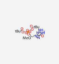 COC(CCn1cnc2c(=O)[nH]c(N)nc21)COP(=O)(OCOC(=O)C(C)(C)C)OCOC(=O)C(C)(C)C